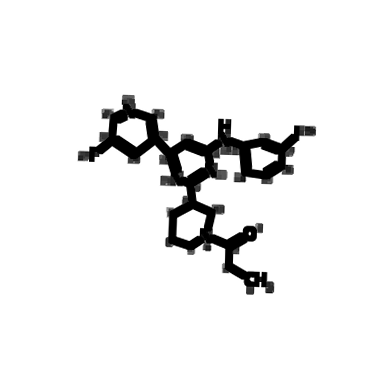 CCC(=O)N1CCCC(c2nc(Nc3cccc(F)c3)cc(-c3cncc(F)c3)n2)C1